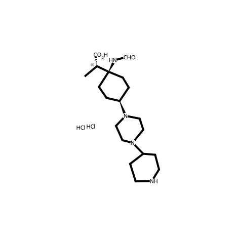 C[C@H](C(=O)O)[C@]1(NC=O)CC[C@@H](N2CCN(C3CCNCC3)CC2)CC1.Cl.Cl